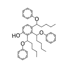 CCCCC(Oc1ccccc1)c1ccc(O)c(C(CCCC)Oc2ccccc2)c1C(CCCC)Oc1ccccc1